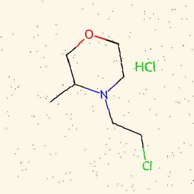 CC1COCCN1CCCl.Cl